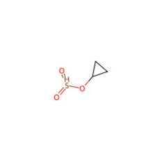 O=[SH](=O)OC1CC1